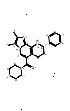 Cc1nc2c3c(c(C(=O)N4CCOCC4)cn2c1C)CC[C@@H](c1ccccc1)N3